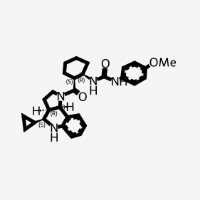 COc1ccc(NC(=O)N[C@@H]2CCCC[C@@H]2C(=O)N2CC[C@@H]3[C@H](C4CC4)Nc4ccccc4[C@@H]32)cc1